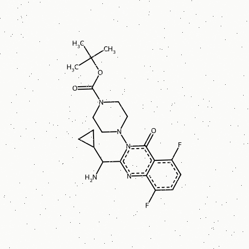 CC(C)(C)OC(=O)N1CCN(n2c(C(N)C3CC3)nc3c(F)ccc(F)c3c2=O)CC1